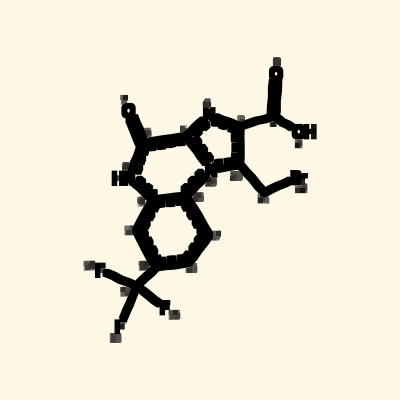 O=C(O)c1nc2c(=O)[nH]c3cc(C(F)(F)F)ccc3n2c1CBr